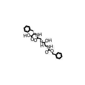 O=C(CNC(O)CNC(=O)OCc1ccccc1)N[C@@H](Cc1ccccc1)C(=O)O